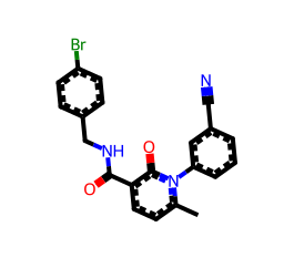 Cc1ccc(C(=O)NCc2ccc(Br)cc2)c(=O)n1-c1cccc(C#N)c1